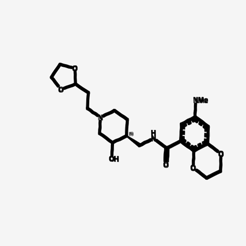 CNc1cc2c(c(C(=O)NC[C@@H]3CCN(CCC4OCCO4)CC3O)c1)OCCO2